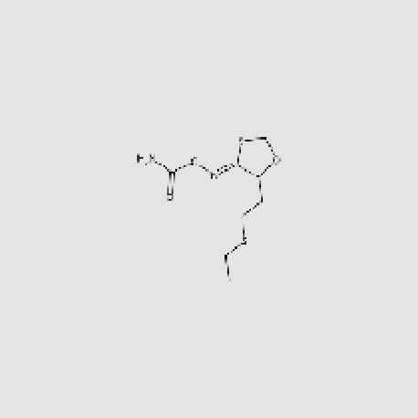 CCSCCC1OCSC1=NOC(N)=O